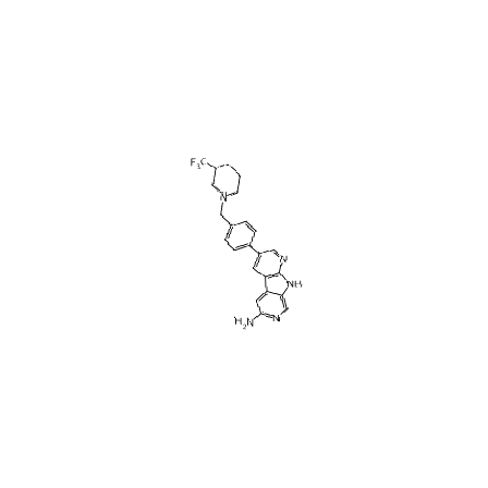 Nc1cc2c(cn1)[nH]c1ncc(-c3ccc(CN4CCCC(C(F)(F)F)C4)cc3)cc12